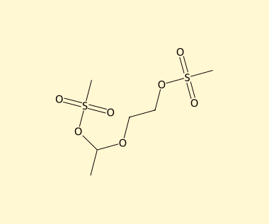 CC(OCCOS(C)(=O)=O)OS(C)(=O)=O